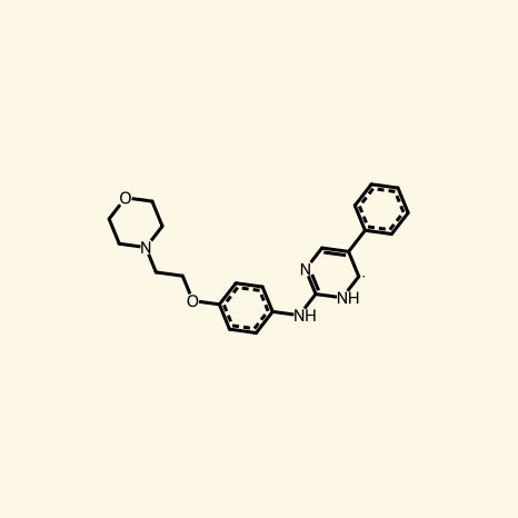 [CH]1NC(Nc2ccc(OCCN3CCOCC3)cc2)=NC=C1c1ccccc1